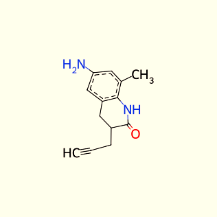 C#CCC1Cc2cc(N)cc(C)c2NC1=O